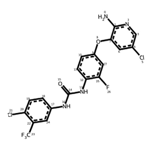 Nc1ncc(Cl)cc1Oc1ccc(NC(=O)Nc2ccc(Cl)c(C(F)(F)F)c2)c(F)c1